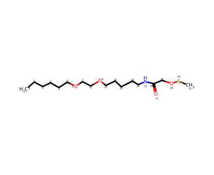 CCCCCCOCCOCCCCCNC(=O)COSC